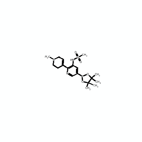 CN1CC=C(c2ncc(B3OC(C)(C)C(C)(C)O3)cc2NS(C)(=O)=O)CC1